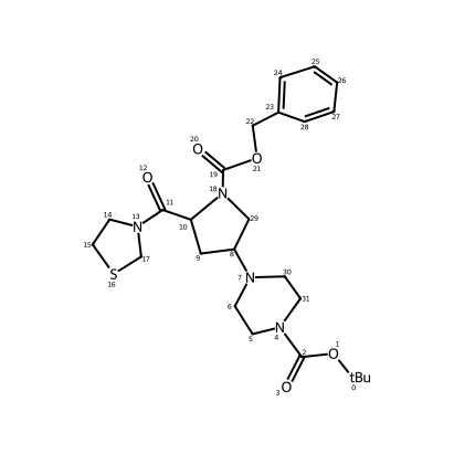 CC(C)(C)OC(=O)N1CCN(C2CC(C(=O)N3CCSC3)N(C(=O)OCc3ccccc3)C2)CC1